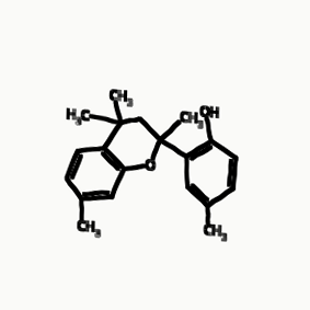 Cc1ccc2c(c1)OC(C)(c1cc(C)ccc1O)CC2(C)C